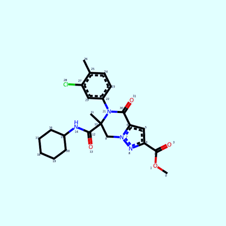 COC(=O)c1cc2n(n1)CC(C)(C(=O)NC1CCCCC1)N(c1ccc(C)c(Cl)c1)C2=O